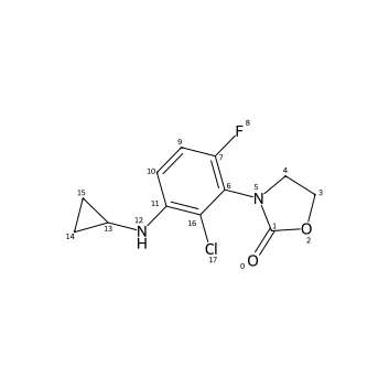 O=C1OCCN1c1c(F)ccc(NC2CC2)c1Cl